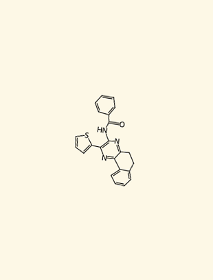 O=C(Nc1nc2c(nc1-c1cccs1)-c1ccccc1CC2)c1ccccc1